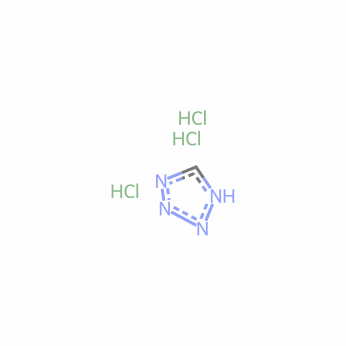 Cl.Cl.Cl.c1nnn[nH]1